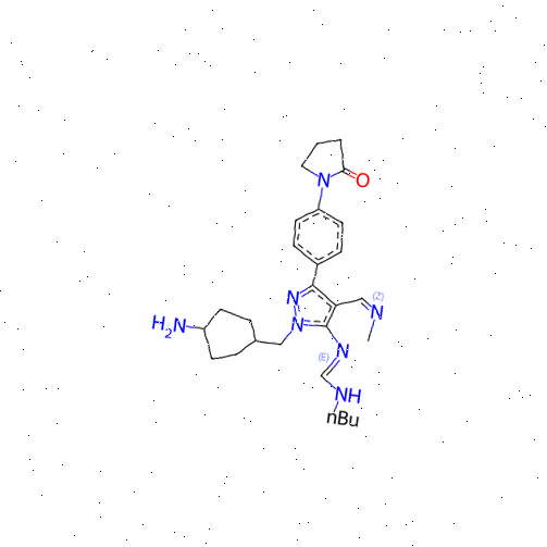 CCCCN/C=N/c1c(/C=N\C)c(-c2ccc(N3CCCC3=O)cc2)nn1CC1CCC(N)CC1